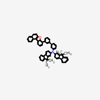 CC1(C)c2ccccc2-c2ccc(N(c3cccc(-c4cccc(-c5cccc6c5oc5ccc7ccccc7c56)c4)c3)c3ccc4c(c3)C(C)(C)c3ccccc3-4)cc21